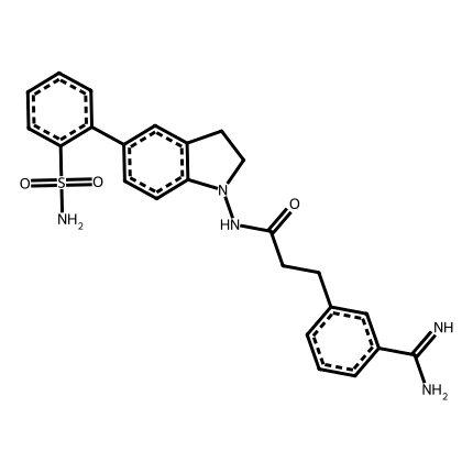 N=C(N)c1cccc(CCC(=O)NN2CCc3cc(-c4ccccc4S(N)(=O)=O)ccc32)c1